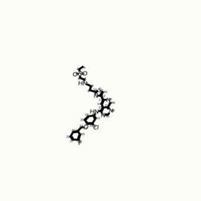 CCS(=O)(=O)CCNCCc1nc(-c2cc3c(Nc4ccc(OCc5cccc(F)c5)c(Cl)c4)ncnc3cn2)cs1